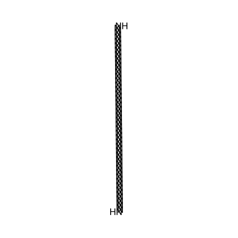 N=N/N=N/N=N/N=N/N=N/N=N/N=N/N=N/N=N/N=N/N=N/N=N/N=N/N=N/N=N/N=N/N=N/N=N/N=N/N=N/N=N/N=N/N=N/N=N/N=N/N=N/N=N/N=N/N=N/N=N/N=N/N=N/N=N/N=N/N=N/N=N/N=N/N=N/N=N/N=N/N=N/N=N/N=N